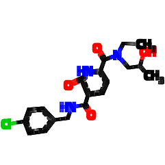 [CH2]CN(CC(C)O)C(=O)c1ccc(C(=O)NCc2ccc(Cl)cc2)c(=O)[nH]1